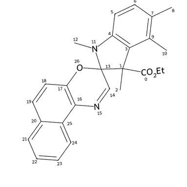 CCOC(=O)C1(C)c2c(ccc(C)c2C)N(C)C12C=Nc1c(ccc3ccccc13)O2